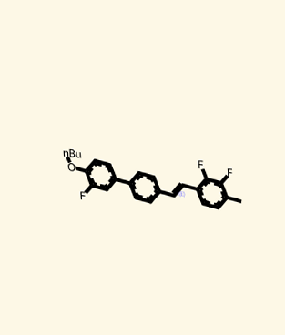 CCCCOc1ccc(-c2ccc(/C=C/c3ccc(C)c(F)c3F)cc2)cc1F